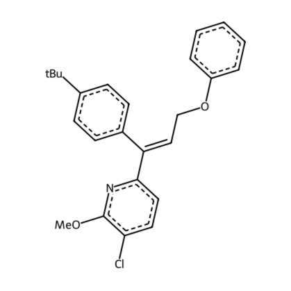 COc1nc(C(=CCOc2ccccc2)c2ccc(C(C)(C)C)cc2)ccc1Cl